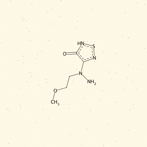 COCCN(N)c1ns[nH]c1=O